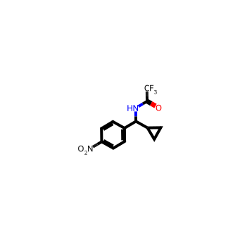 O=C(NC(c1ccc([N+](=O)[O-])cc1)C1CC1)C(F)(F)F